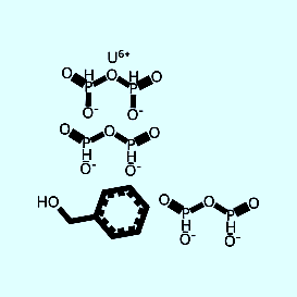 O=[PH]([O-])O[PH](=O)[O-].O=[PH]([O-])O[PH](=O)[O-].O=[PH]([O-])O[PH](=O)[O-].OCc1ccccc1.[U+6]